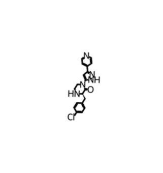 O=C1[C@@H](Cc2ccc(Cl)cc2)NCCN1c1cc(-c2ccncc2)n[nH]1